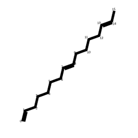 C=CCCCCCC=CCCCCC=CC